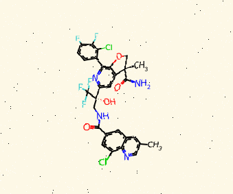 Cc1cnc2c(Cl)cc(C(=O)NC[C@](O)(c3cc4c(c(-c5ccc(F)c(F)c5Cl)n3)OC[C@]4(C)C(N)=O)C(F)(F)F)cc2c1